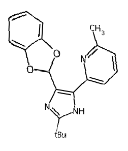 Cc1cccc(-c2[nH]c(C(C)(C)C)nc2C2Oc3ccccc3O2)n1